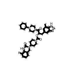 Cc1cc(CC(OC(=O)N2CCC(N3Cc4cccc(F)c4NC3=O)CC2)C(=O)N2CCN(C3CCCCC3)CC2)cc2nn[nH]c12